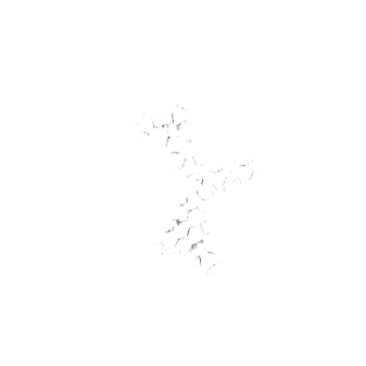 c1ccc(-c2ccc(N(c3ccc(-c4ccc5c(c4)c4ccccc4n5-c4ccccc4)cc3)c3ccc(-c4nc5ccccc5c5c4ccc4c6ccccc6sc45)cc3)cc2)cc1